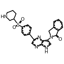 O=C1c2ccccc2CN1c1c[nH]c2ncc(-c3ccc(S(=O)(=O)C4CCCNC4)cc3)nc12